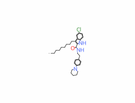 [CH2]CCCCCCCCc1c(C(=O)NCCc2ccc(N3CCCCC3)cc2)[nH]c2ccc(Cl)cc12